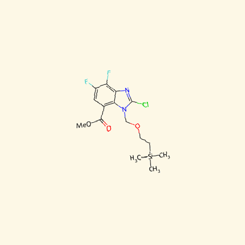 COC(=O)c1cc(F)c(F)c2nc(Cl)n(COCC[Si](C)(C)C)c12